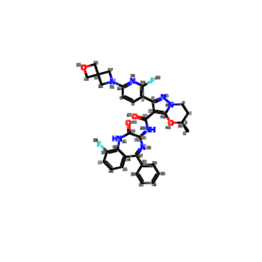 C[C@@H]1CCn2nc(-c3ccc(N4CC5(COC5)C4)nc3F)c(C(=O)N[C@H]3N=C(c4ccccc4)c4cccc(F)c4NC3=O)c2O1